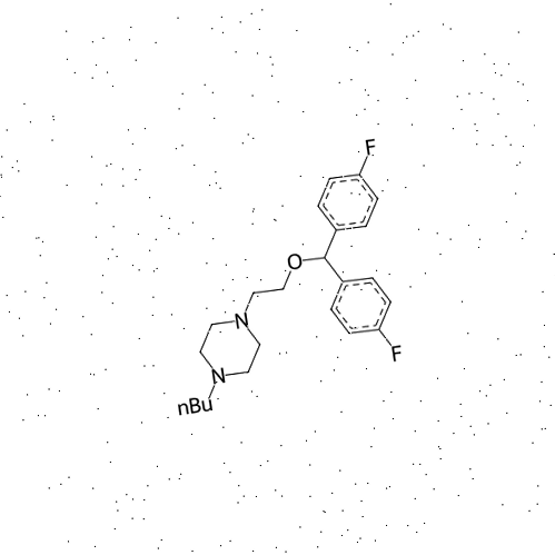 CCCCN1CCN(CCOC(c2ccc(F)cc2)c2ccc(F)cc2)CC1